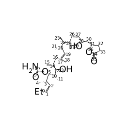 CC/C=C\[C@H](C)[C@H](OC(N)=O)[C@@H](C)[C@H](O)[C@@H](C)C/C(C)=C\[C@H](C)[C@@H](C)[C@@H](C)/C=C\[C@@H](O)C[C@H]1CCC(=O)O1